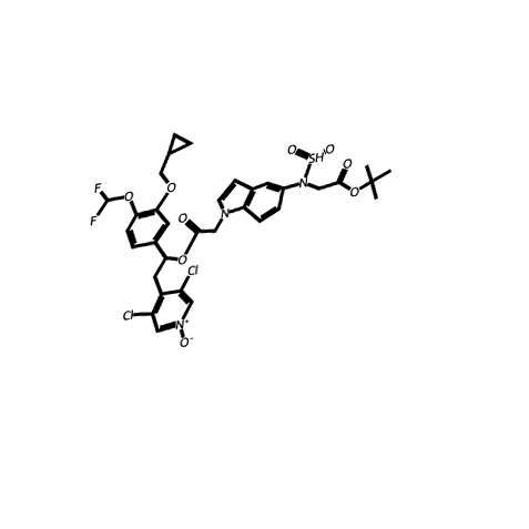 CC(C)(C)OC(=O)CN(c1ccc2c(ccn2CC(=O)OC(Cc2c(Cl)c[n+]([O-])cc2Cl)c2ccc(OC(F)F)c(OCC3CC3)c2)c1)[SH](=O)=O